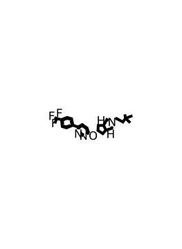 CC(C)(C)CCN1C[C@H]2C[C@@H](Oc3ccc(-c4ccc(C(F)(F)F)cc4)nn3)C[C@H]2C1